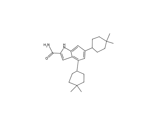 CC1(C)CCC(c2cc(C3CCC(C)(C)CC3)c3cc(C(N)=O)[nH]c3c2)CC1